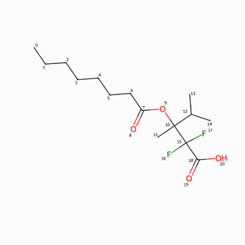 CCCCCCCC(=O)OC(C)(C(C)C)C(F)(F)C(=O)O